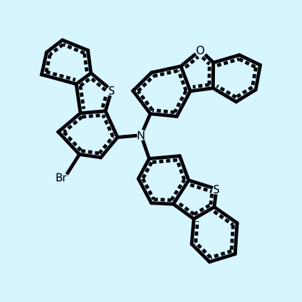 Brc1cc(N(c2ccc3c(c2)sc2ccccc23)c2ccc3oc4ccccc4c3c2)c2sc3ccccc3c2c1